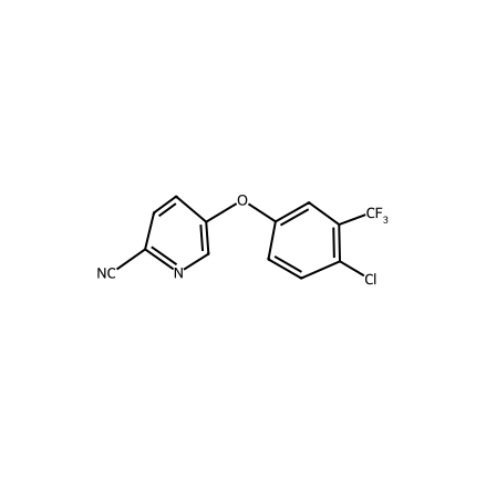 N#Cc1ccc(Oc2ccc(Cl)c(C(F)(F)F)c2)cn1